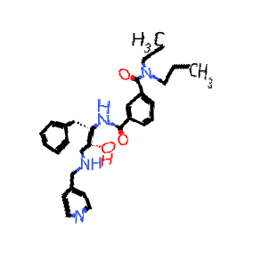 CCCN(CCC)C(=O)c1cccc(C(=O)N[C@@H](Cc2ccccc2)[C@H](O)CNCc2ccncc2)c1